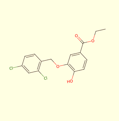 CCOC(=O)c1ccc(O)c(OCc2ccc(Cl)cc2Cl)c1